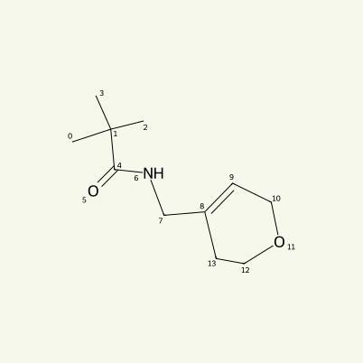 CC(C)(C)C(=O)NCC1=CCOCC1